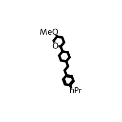 CCCc1ccc(CCC2CCC(C3CCC(OC)CO3)CC2)cc1